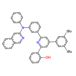 CC(C)(C)c1cc(-c2cc(-c3cccc(N(c4ccccc4)c4cc5ccccc5cn4)c3)nc(-c3ccccc3O)c2)cc(C(C)(C)C)c1